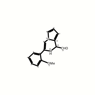 COc1ccccc1C1=Cn2cccc2C(C=O)N1